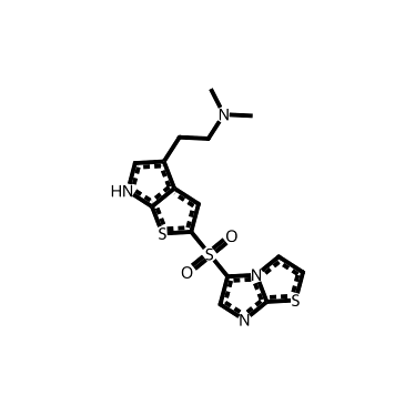 CN(C)CCc1c[nH]c2sc(S(=O)(=O)c3cnc4sccn34)cc12